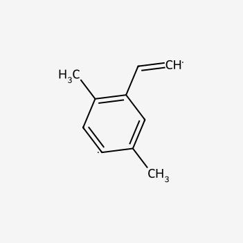 [CH]=Cc1cc(C)[c]cc1C